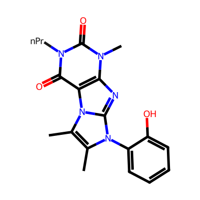 CCCn1c(=O)c2c(nc3n(-c4ccccc4O)c(C)c(C)n23)n(C)c1=O